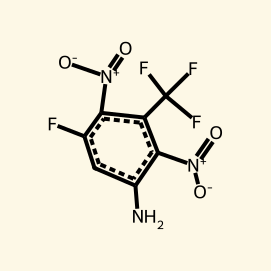 Nc1cc(F)c([N+](=O)[O-])c(C(F)(F)F)c1[N+](=O)[O-]